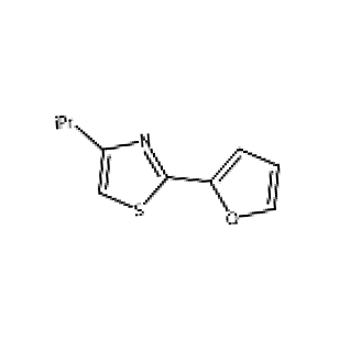 CC(C)c1csc(-c2ccco2)n1